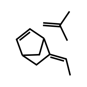 C=C(C)C.CC=C1CC2C=CC1C2